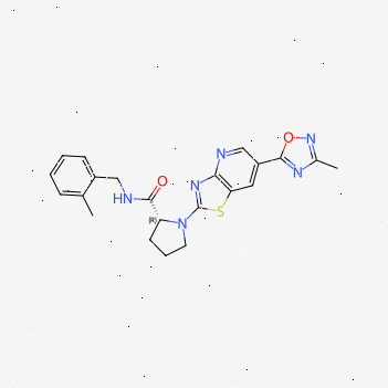 Cc1noc(-c2cnc3nc(N4CCC[C@@H]4C(=O)NCc4ccccc4C)sc3c2)n1